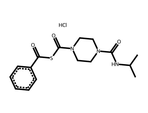 CC(C)NC(=O)N1CCN(C(=O)SC(=O)c2ccccc2)CC1.Cl